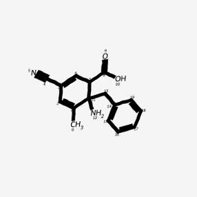 CC1=CC(C#N)=CC(C(=O)O)C1(N)Cc1ccccc1